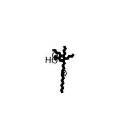 CCCCCCCCOCCCCc1cc(C(=O)O)c(CCCC)c(CCCC)c1CCCC